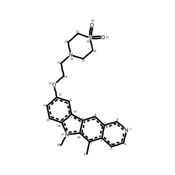 Cc1c2ccncc2cc2c3cc(OCCN4CCS(=O)(=O)CC4)ccc3n(C)c12